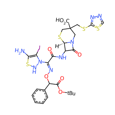 CC(C)(C)OC(=O)C(ON=C(C(=O)NC1C(=O)N2CC(CSc3nncs3)(C(=O)O)CS[C@H]12)N1NSC(N)=C1I)c1ccccc1